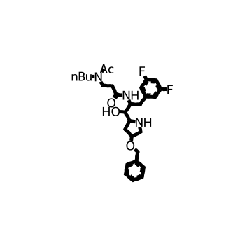 CCCCN(CCC(=O)NC(Cc1cc(F)cc(F)c1)C(O)C1CC(OCc2ccccc2)CN1)C(C)=O